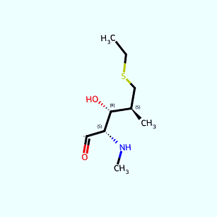 CCSC[C@@H](C)[C@@H](O)[C@@H]([C]=O)NC